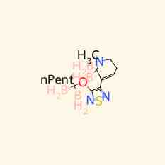 BC(B)(CCCCC)Oc1nsnc1C1=CCCN(C)C1(B)B